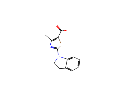 Cc1nc(N2CCc3ccccc32)sc1C(=O)O